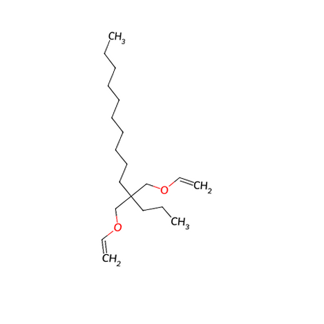 C=COCC(CCC)(CCCCCCCCCC)COC=C